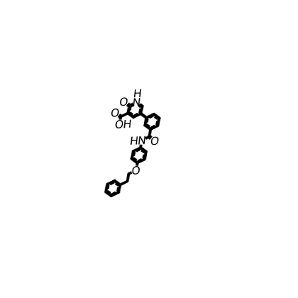 O=C(Nc1ccc(OCCc2ccccc2)cc1)c1cccc(-c2c[nH]c(=O)c(C(=O)O)c2)c1